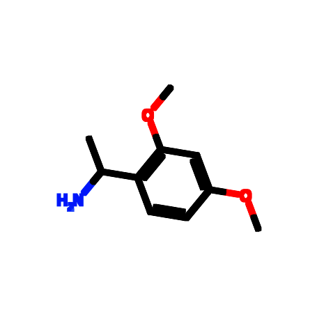 COc1ccc(C(C)N)c(OC)c1